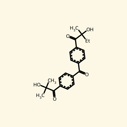 CCC(C)(O)C(=O)c1ccc(C(=O)c2ccc(C(=O)C(C)(C)O)cc2)cc1